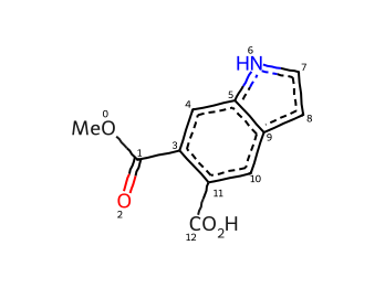 COC(=O)c1cc2[nH]ccc2cc1C(=O)O